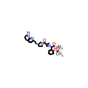 CC(C)Oc1ccccc1[C@@H](C(=O)O)N1CC(C(=O)N2CC[C@@H](CCc3ccc4c(n3)NCCC4)C2)C1